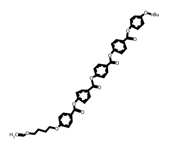 C=COCCCCOc1ccc(C(=O)Oc2ccc(C(=O)Oc3ccc(C(=O)Oc4ccc(C(=O)Oc5ccc(OCCCC)cc5)cc4)cc3)cc2)cc1